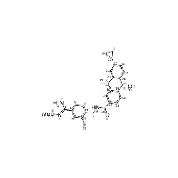 CON=C(N)c1ccc(CNC(=O)c2ccc3c(c2)[C@H](C)c2cc(C4CC4)ccc2[C@@H]3O)c(F)c1